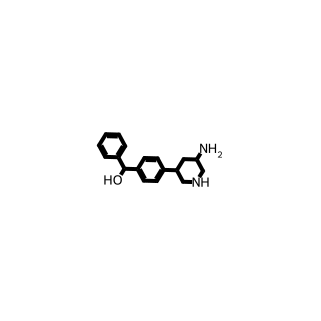 NC1CNCC(c2ccc(C(O)c3ccccc3)cc2)C1